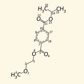 COCCOC(=O)c1ccc(C(=O)OC(C)C)cc1